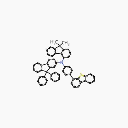 CC1(C)c2ccccc2-c2c(N(c3ccc(-c4cccc5c4sc4ccccc45)cc3)c3ccc4c(c3)C(c3ccccc3)(c3ccccc3)c3ccccc3-4)cccc21